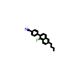 CCCCc1ccc2c(F)c(-c3ccc(C#N)cc3)ccc2c1